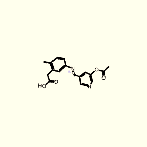 CC(=O)Oc1cncc(/N=N/c2ccc(C)c(CC(=O)O)c2)c1